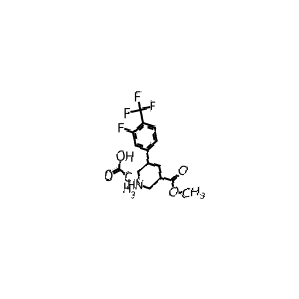 CC(=O)O.COC(=O)C1CNCC(c2ccc(C(F)(F)F)c(F)c2)C1